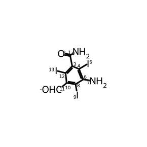 NC(=O)c1c(I)c(N)c(I)c([C]=O)c1I